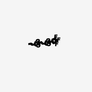 CC=CC1COC(CCC2COC(c3cc(F)c(F)c(F)c3)OC2)OC1